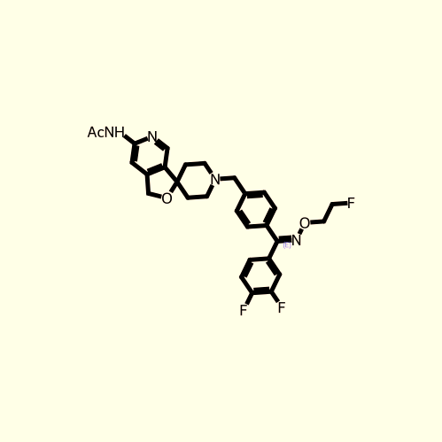 CC(=O)Nc1cc2c(cn1)C1(CCN(Cc3ccc(/C(=N\OCCF)c4ccc(F)c(F)c4)cc3)CC1)OC2